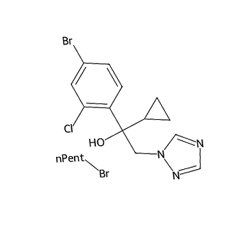 CCCCCBr.OC(Cn1cncn1)(c1ccc(Br)cc1Cl)C1CC1